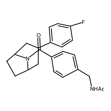 CC(=O)NCc1ccc(C(=O)N2C3CCC2CC(c2ccc(F)cc2)C3)cc1